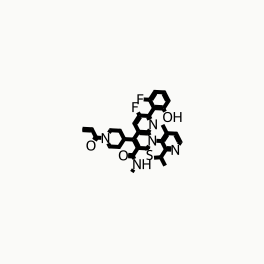 C=CC(=O)N1CCC(c2c(C(=O)NC)c(=S)n(-c3c(C)ccnc3C(C)C)c3nc(-c4c(O)cccc4F)c(F)cc23)CC1